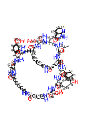 CCC[C@@H]1NC(=O)[C@H](Cc2c[nH]c3ncccc23)NC(=O)[C@H]([C@@H](C)O)NC(=O)[C@@H]2CCCCNC(=O)CC[C@@H](NC1=O)C(=O)N[C@@H](Cc1ccc(O)cc1)C(=O)N[C@@H](C1CCCCC1)C(=O)N[C@@H]([C@@H](C)O)C(=O)NCCCC(=O)NCCCCCC(=O)N[C@@H](C(C)(C)C)C(=O)N[C@@H](Cc1ccc(O)cc1)C(=O)N2